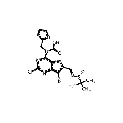 CC(C)(C)[S@@+]([O-])/N=C/c1sc2c(N(Cc3ccco3)C(=O)O)nc(Cl)nc2c1Br